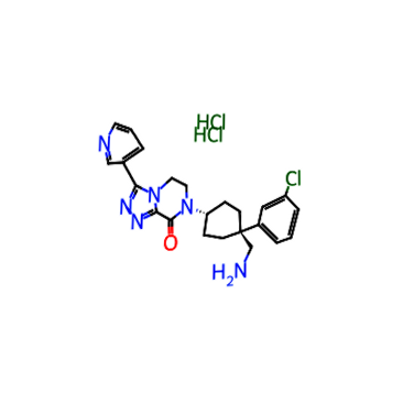 Cl.Cl.NC[C@]1(c2cccc(Cl)c2)CC[C@@H](N2CCn3c(nnc3-c3cccnc3)C2=O)CC1